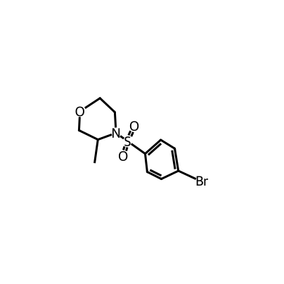 CC1COCCN1S(=O)(=O)c1ccc(Br)cc1